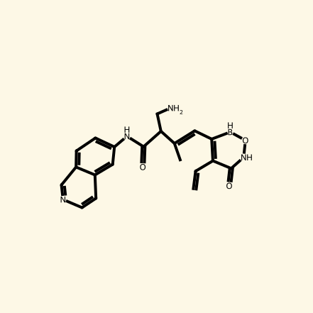 C=CC1=C(/C=C(\C)C(CN)C(=O)Nc2ccc3cnccc3c2)BONC1=O